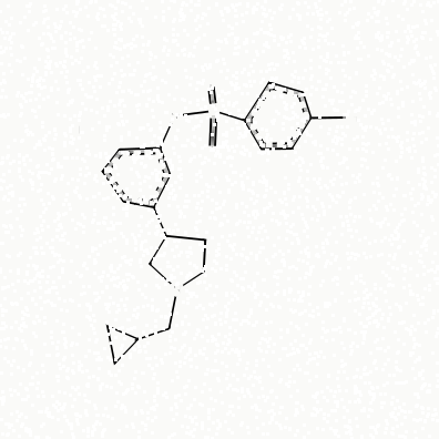 CC(C)c1ccc(S(=O)(=O)Nc2cccc(C3CCN(CC4CC4)C3)c2)cc1.Cl